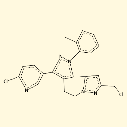 Cc1ccccc1-n1nc(-c2ccc(Cl)nc2)c2c1-c1cc(CCl)nn1CC2